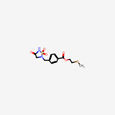 CSCCOC(=O)c1ccc(CN2CC(=O)NS2(=O)=O)cc1